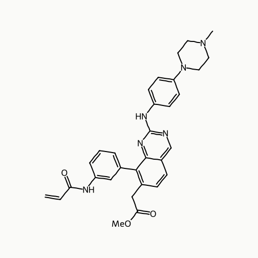 C=CC(=O)Nc1cccc(-c2c(CC(=O)OC)ccc3cnc(Nc4ccc(N5CCN(C)CC5)cc4)nc23)c1